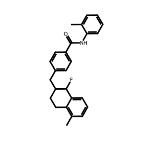 Cc1ccccc1NC(=O)c1ccc(CC2CCc3c(C)cccc3C2F)cc1